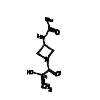 CCC(C)C(=O)NC1CN(C(=O)[C@@H](C)O)C1